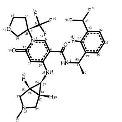 C[C@@H](NC(=O)c1cn([C@@]2(C(F)(F)F)CCOC2)c(=O)cc1N[C@H]1[C@@H]2CN(C)C[C@@H]21)c1cccc(C(F)F)c1F